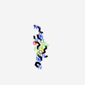 C=N/C=C\C=C(/C)n1cc(N(CC)C(=O)CC(CC(F)(F)F)SSC(CC(=O)N(CC)c2cn(-c3cccnc3)nc2Cl)CC(F)(F)F)c(Cl)n1